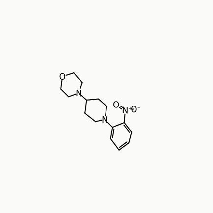 O=[N+]([O-])c1ccccc1N1CCC(N2CCOCC2)CC1